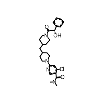 CN(C)C(=O)c1cnc(N2CCC(CC3CCN(C(=O)[C@H](O)c4ccccc4)CC3)CC2)cc1Cl